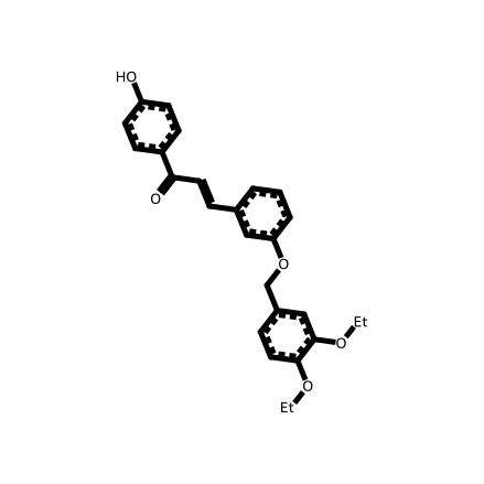 CCOc1ccc(COc2cccc(/C=C/C(=O)c3ccc(O)cc3)c2)cc1OCC